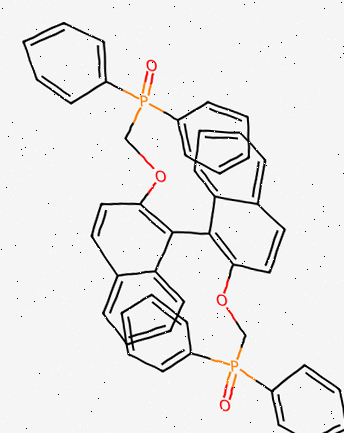 O=P(COc1ccc2ccccc2c1-c1c(OCP(=O)(c2ccccc2)c2ccccc2)ccc2ccccc12)(c1ccccc1)c1ccccc1